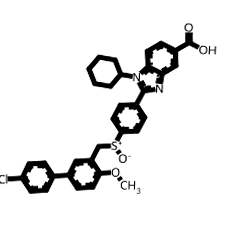 COc1ccc(-c2ccc(Cl)cc2)cc1C[S+]([O-])c1ccc(-c2nc3cc(C(=O)O)ccc3n2C2CCCCC2)cc1